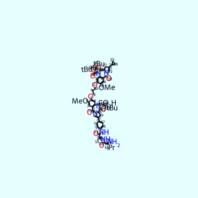 COc1cc2c(cc1OCCCOc1cc3c(cc1OC)C(=O)N1C=C(C4CC4)CC1[C@H](O[Si](C)(C)C(C)(C)C)N3C(=O)OC(C)(C)C)N(C(=O)O)[C@@H](O[Si](C)(C)C(C)(C)C)C1CC(c3ccc(NC(=O)[C@H](C)NC(=O)[C@@H](N)C(C)C)cc3)=CN1C2=O